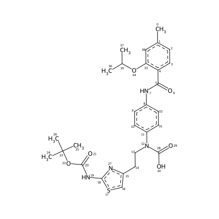 Cc1ccc(C(=O)Nc2ccc(N(CCc3csc(NC(=O)OC(C)(C)C)n3)C(=O)O)cc2)c(OC(C)C)c1